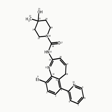 CCc1ccc(-c2ccccn2)c2c1N=C(NC(=O)N1CCC(C)(O)CC1)C=CC2